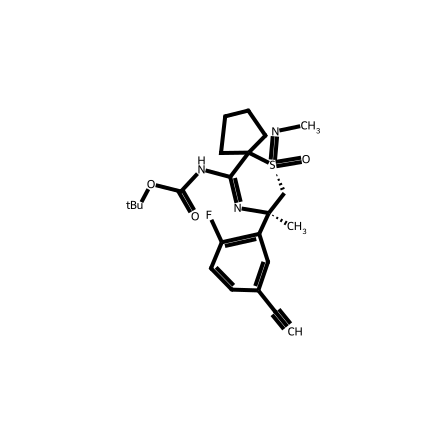 C#Cc1ccc(F)c([C@]2(C)C[S@@](=O)(=NC)C3(CCCC3)C(NC(=O)OC(C)(C)C)=N2)c1